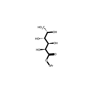 CCCOC(=O)[C@@H](O)[C@H](O)[C@H](O)[C@@H](O)C(=O)O